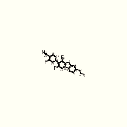 CCCc1ccc2c(c1)Cc1c-2cc(F)c(-c2ccc(C#N)c(F)c2)c1F